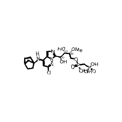 CO[C@H](COP(=O)(O)CP(=O)(O)O)[C@@H](O)[C@@H](O)c1ncc2c(NC34CCC(CC3)C4)cc(Cl)nn12